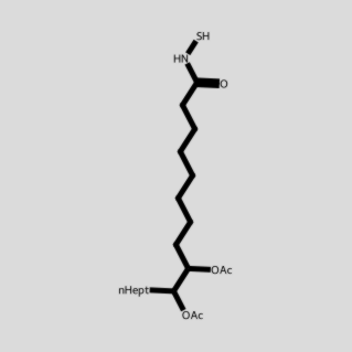 CCCCCCCC(OC(C)=O)C(CCCCCCCC(=O)NS)OC(C)=O